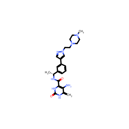 C=C1NC(=O)NC(C(=O)N[C@H](C)c2cccc(-c3cnn(CCN4CCN(C)CC4)c3)c2)=C1N